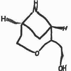 OCC1OC[C@@H]2C[C@@H]1N2